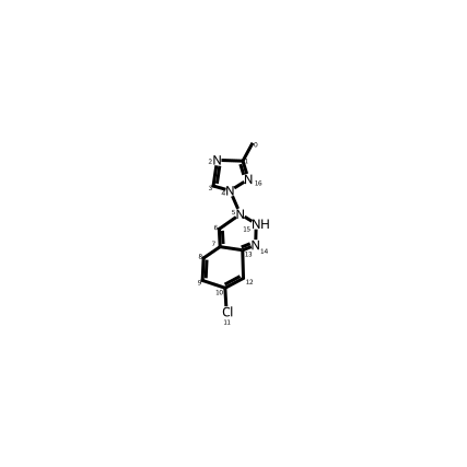 Cc1ncn(N2C=c3ccc(Cl)cc3=NN2)n1